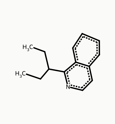 CCC(CC)c1nccc2ccccc12